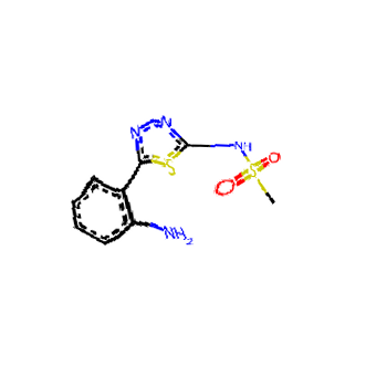 CS(=O)(=O)Nc1nnc(-c2ccccc2N)s1